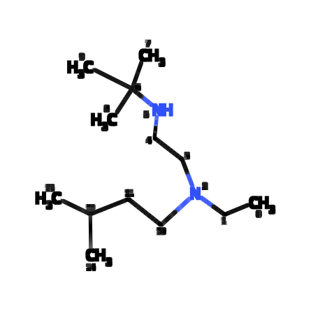 CCN(CCNC(C)(C)C)CCC(C)C